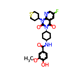 COc1cc(C(=O)N[C@H]2CC[C@@H](n3c(=O)c4cc(F)cnc4n(C4CCSCC4)c3=O)CC2)ccc1O